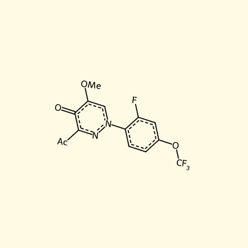 COc1cn(-c2ccc(OC(F)(F)F)cc2F)nc(C(C)=O)c1=O